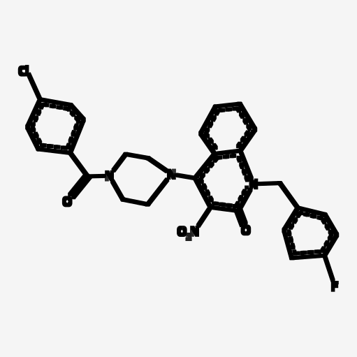 O=C(c1ccc(Cl)cc1)N1CCN(c2c([N+](=O)[O-])c(=O)n(Cc3ccc(F)cc3)c3ccccc23)CC1